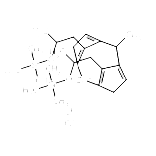 CC(CC1=[C]2CC=C1C(C)C1=CC[C](=C1CC(C)O[Si](C)(C)C)[Zr+2]2)O[Si](C)(C)C.[Cl-].[Cl-]